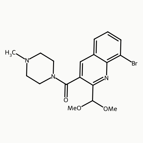 COC(OC)c1nc2c(Br)cccc2cc1C(=O)N1CCN(C)CC1